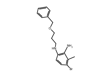 Cc1c(Br)ccc(NCCCOCc2ccccc2)c1N